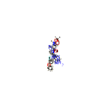 CCN(C(=O)OC(C)(C)C)C(C)(C)/C=C(\C#N)C(=O)N1CCC[C@H]1Cn1nc(-c2ccc(Oc3ccccc3)cc2F)c2c(N)ncnc21